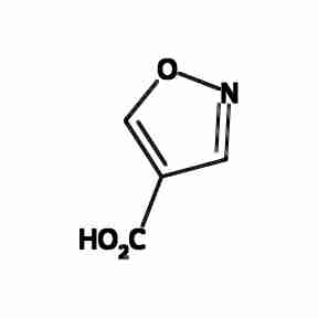 O=C(O)c1cnoc1